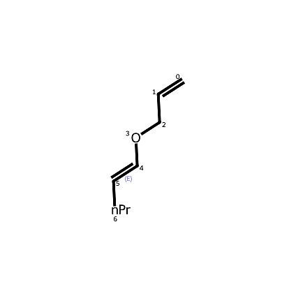 C=CCO/C=C/CCC